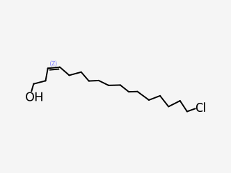 OCC/C=C\CCCCCCCCCCCCCCl